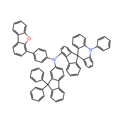 c1ccc(N2c3ccccc3C3(c4ccccc4-c4c(N(c5ccc(-c6cccc7c6oc6ccccc67)cc5)c5ccc6c(c5)C(c5ccccc5)(c5ccccc5)c5ccccc5-6)cccc43)c3ccccc32)cc1